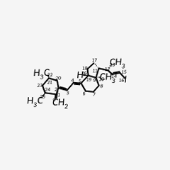 C=C1/C(=C/C=C2\CCC[C@]3(C)[C@@H]([C@H](C)/C=C/I)CC[C@@H]23)C[C@@H](C)C[C@@H]1C